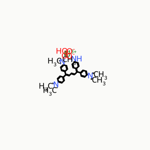 CCN(CC)c1ccc(C(=CC=CC(=C2C=CC(=N)C=C2)c2ccc(N(CC)CC)cc2)c2ccc(N(C)C)cc2)cc1.[O-][Cl+3]([O-])([O-])O